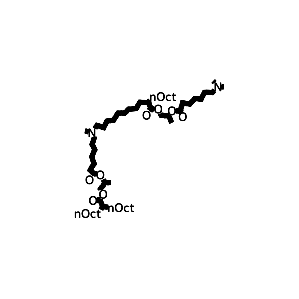 CCCCCCCCC(CCCCCCCCCN(C)CCCCCCC(=O)OC(C)COC(=O)C(CCCCCCCC)CCCCCCCC)C(=O)OCC(C)OC(=O)CCCCCCN(C)C